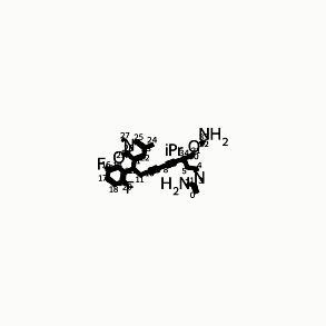 C=C(N)/N=C\CC(C#CC#CCC(c1cc(F)ccc1F)c1cc(C)cn(C)c1=O)(COCN)C(C)C